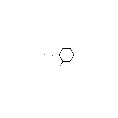 [CH2]NC1CCCCC1O